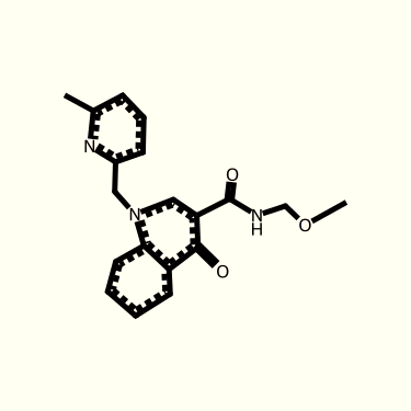 COCNC(=O)c1cn(Cc2cccc(C)n2)c2ccccc2c1=O